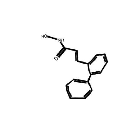 O=C(/C=C/c1ccccc1-c1ccccc1)NO